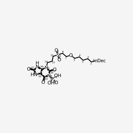 CCCCCCCCCCCCCCCOCCS(=O)(=O)CCCn1c(=O)n(P(=O)(O)O)c(=O)c2[nH]c(=O)[nH]c21